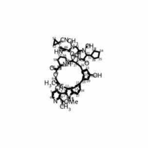 CCn1c(-c2cccnc2[C@H](C)OC)c2c3cc(ccc31)-c1cc(O)cc(c1)C[C@H](NC(=O)C(C1CCCC1)N(C)C(=O)CN(C)C(=O)[C@@H]1N[C@@H]1C1(C#N)CC1)C(=O)N1CCC[C@H](N1)C(=O)OCC(C)(C)C2